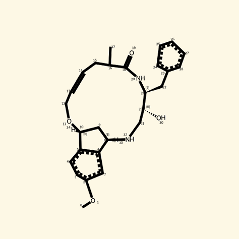 COc1ccc2c(c1)[C@@H]1C[C@H]2OCC=CCC(C)C(=O)N[C@@H](Cc2ccccc2)[C@H](O)CN1